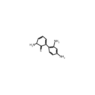 Nc1ccc(C2=CC=CC(N)C2=S)c(N)c1